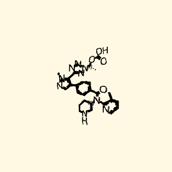 Cc1cccnc1N(C(=O)c1ccc(-c2cnn(C)c2-c2nnn([C@@H](C)OC(=O)O)n2)cc1)[C@@H]1CCCNC1